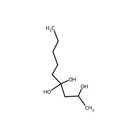 CCCCCC(O)(O)CC(C)O